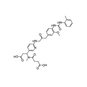 COc1cc(CC(=O)CNc2ccc(C(CC(=O)O)N(C)C(=O)CCC(=O)O)cn2)ccc1NC(=O)Nc1ccccc1C